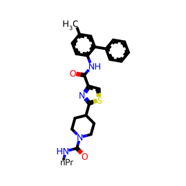 CCCNC(=O)N1CCC(c2nc(C(=O)Nc3ccc(C)cc3-c3ccccc3)cs2)CC1